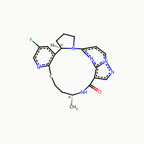 C[C@@H]1CCCc2ncc(F)cc2[C@H]2CCCN2c2ccn3ncc(c3n2)C(=O)N1